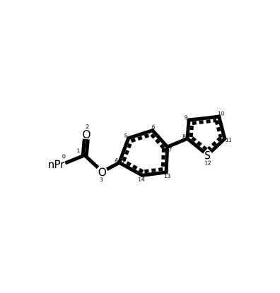 CCCC(=O)Oc1ccc(-c2cccs2)cc1